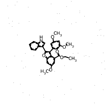 CCOC(=O)c1cc(OC)cc2oc(-c3c[nH]c4ccccc34)c(-c3cc(OC)cc(OC)c3)c12